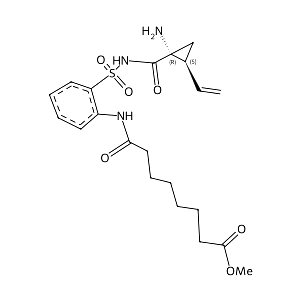 C=C[C@@H]1C[C@]1(N)C(=O)NS(=O)(=O)c1ccccc1NC(=O)CCCCCCC(=O)OC